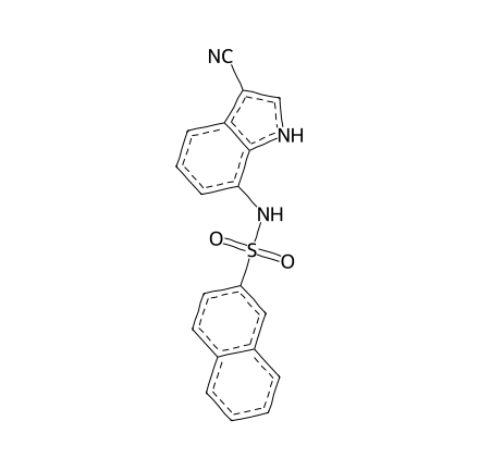 N#Cc1c[nH]c2c(NS(=O)(=O)c3ccc4ccccc4c3)cccc12